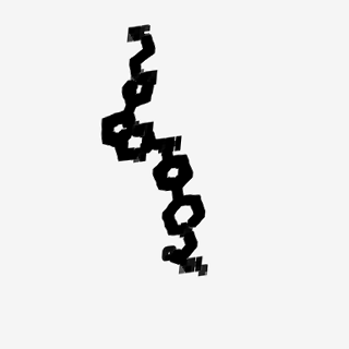 N#CCCn1cc(-c2ccc3cnc(Nc4ccc(C5CCN(CC(N)=O)CC5)cc4)nn23)cn1